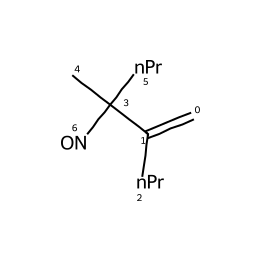 C=C(CCC)C(C)(CCC)N=O